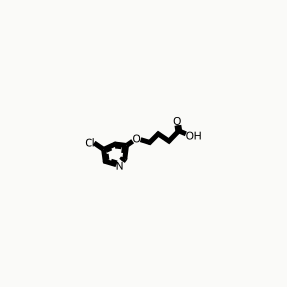 O=C(O)CCCOc1cncc(Cl)c1